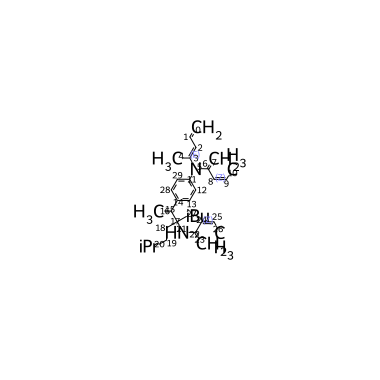 C=C/C=C(\C)N(C(=C)/C=C\C)c1ccc(C(C)C(CCC(C)C)(NC(=C)/C=C\C)C(C)CC)cc1